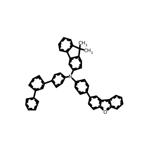 CC1(C)c2ccccc2-c2cc(N(c3ccc(-c4cccc(-c5ccccc5)c4)cc3)c3ccc(-c4ccc5oc6ccccc6c5c4)cc3)ccc21